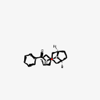 O=C(NC1C[C@H]2CC[C@@H](C1)N2[C@H]1CCOC1)c1ccccc1